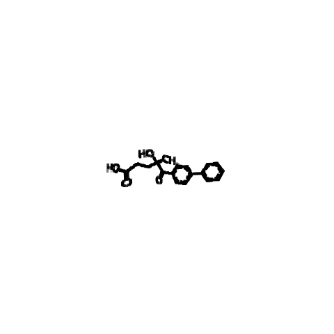 CC(O)(CCC(=O)O)C(=O)c1ccc(-c2ccccc2)cc1